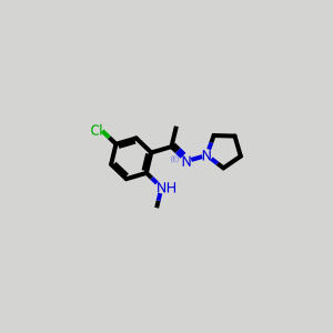 CNc1ccc(Cl)cc1/C(C)=N/N1CCCC1